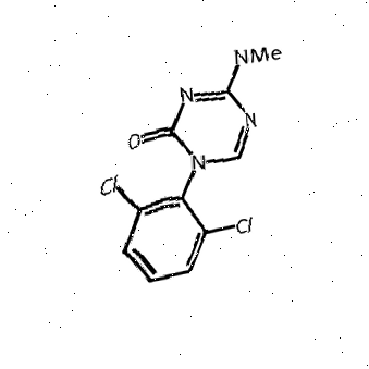 CNc1ncn(-c2c(Cl)cccc2Cl)c(=O)n1